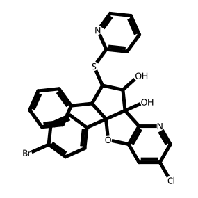 OC1C(Sc2ccccn2)C(c2ccccc2)C2(c3ccc(Br)cc3)Oc3cc(Cl)cnc3C12O